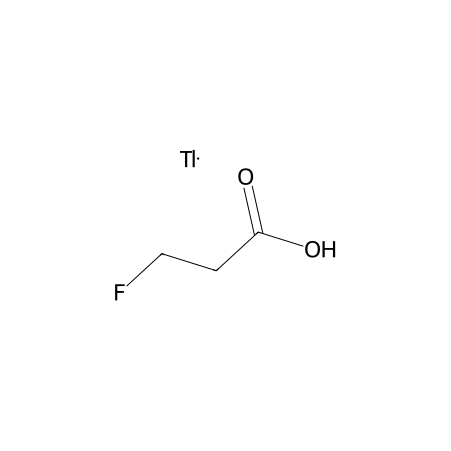 O=C(O)CCF.[Tl]